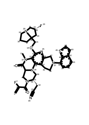 C=C(F)C(=O)N1CC2C(=O)N(C)c3c(OCC45CCCN4C[C@H](F)C5)nc4c(c3N2C[C@@H]1CC#N)CCN(c1cccc2ccsc12)C4